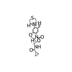 O=C(NC[C@@H]1OC(=O)N2c3cc(F)c(N4[C@@H]5CC[C@H]4CSC5)cc3OC[C@@H]12)C1CC1